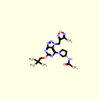 CC(=O)N[C@H]1CCN(c2nc(OCC(C)(C)C)nc3nnn(Cc4nonc4C)c23)C1